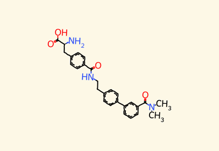 CN(C)C(=O)c1cccc(-c2ccc(CCNC(=O)c3ccc(C[C@H](N)C(=O)O)cc3)cc2)c1